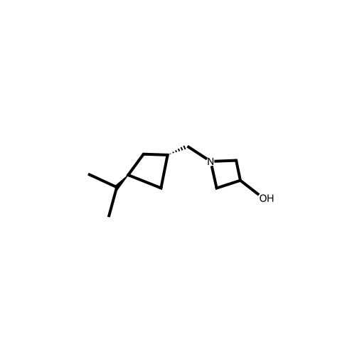 CC(C)[C@H]1C[C@H](CN2CC(O)C2)C1